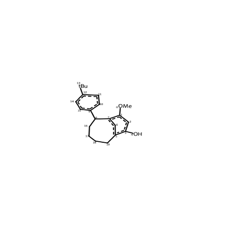 COc1cc(O)c2cc1C(c1ccc(C(C)(C)C)cc1)CCCC2